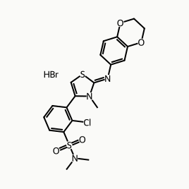 Br.CN(C)S(=O)(=O)c1cccc(-c2csc(=Nc3ccc4c(c3)OCCO4)n2C)c1Cl